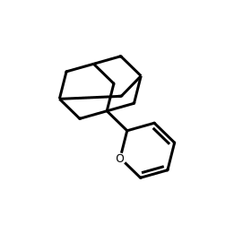 C1=COC(C23CC4CC(CC(C4)C2)C3)C=C1